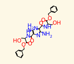 Nc1nc(C(=O)NC(CO)C(=O)OCc2ccccc2)c(N)nc1C(=O)NC(CO)C(=O)OCc1ccccc1